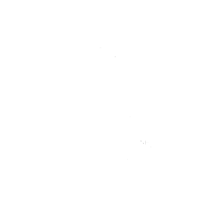 CC(O)(CC(N)OCc1cccc(C(F)(F)F)c1)c1ccccc1